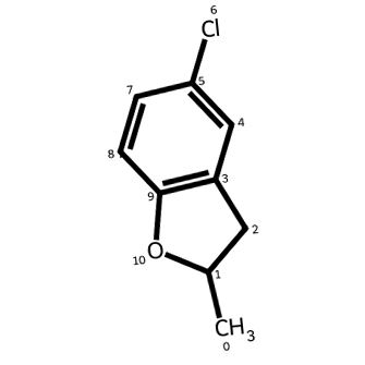 CC1Cc2cc(Cl)c[c]c2O1